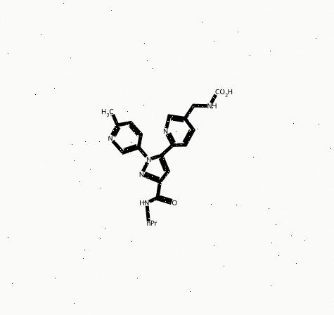 CCCNC(=O)c1cc(-c2ccc(CNC(=O)O)cn2)n(-c2ccc(C)nc2)n1